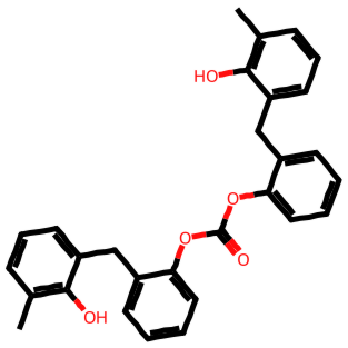 Cc1cccc(Cc2ccccc2OC(=O)Oc2ccccc2Cc2cccc(C)c2O)c1O